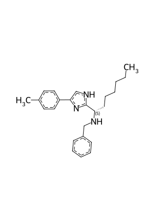 CCCCCC[C@H](NCc1ccccc1)c1nc(-c2ccc(C)cc2)c[nH]1